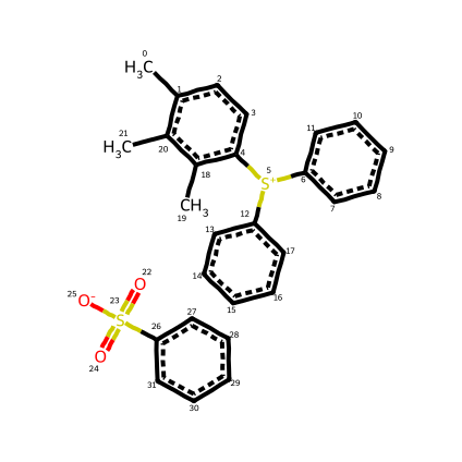 Cc1ccc([S+](c2ccccc2)c2ccccc2)c(C)c1C.O=S(=O)([O-])c1ccccc1